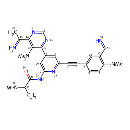 CNc1ccc(C#Cc2cc(-c3ncnc(C(C)=N)c3NC)cc(NC(=O)C(C)NC)n2)cc1C=N